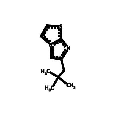 CC(C)(C)Cc1cn2ccsc2n1